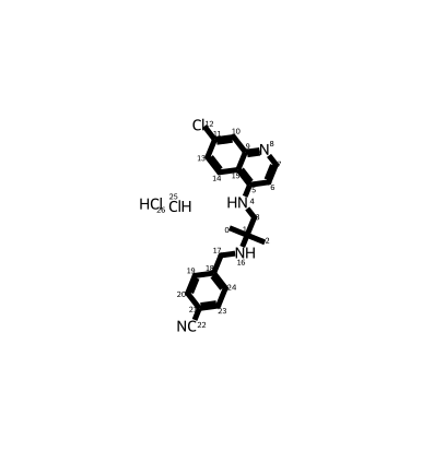 CC(C)(CNc1ccnc2cc(Cl)ccc12)NCc1ccc(C#N)cc1.Cl.Cl